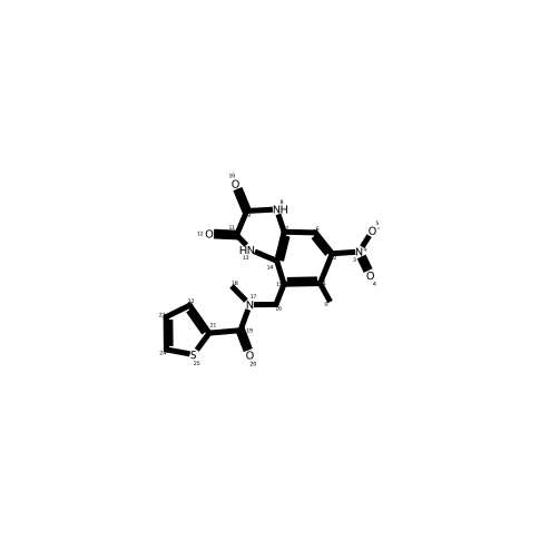 Cc1c([N+](=O)[O-])cc2[nH]c(=O)c(=O)[nH]c2c1CN(C)C(=O)c1cccs1